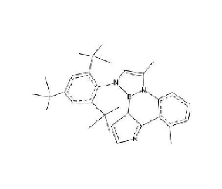 CC1=CN(c2c(C(C)(C)C)cc(C(C)(C)C)cc2C(C)(C)C)B2C3C=CN=C3c3c(C)cccc3N21